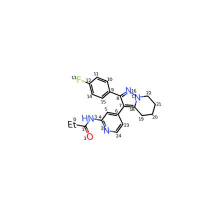 CCC(=O)Nc1cc(-c2c(-c3ccc(F)cc3)nn3c2CCCC3)ccn1